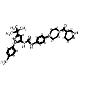 Cc1ccc(-n2nc(C(C)(C)C)cc2NC(=O)Nc2ccc(N3CCN(C(=O)C4CCCNC4)CC3)cc2)cc1